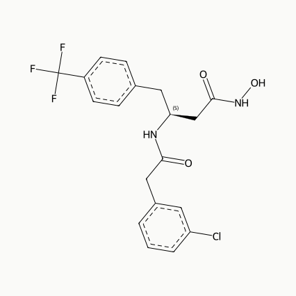 O=C(C[C@H](Cc1ccc(C(F)(F)F)cc1)NC(=O)Cc1cccc(Cl)c1)NO